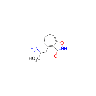 NC(CC1=C2C(=CCCC1)ONC2O)C(=O)O